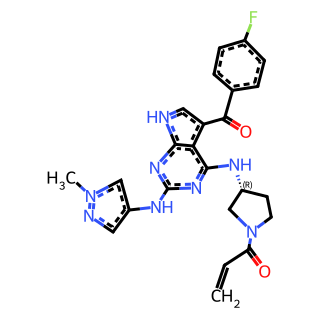 C=CC(=O)N1CC[C@@H](Nc2nc(Nc3cnn(C)c3)nc3[nH]cc(C(=O)c4ccc(F)cc4)c23)C1